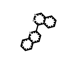 [c]1nnc(-c2ccc3ccccc3n2)c2ccccc12